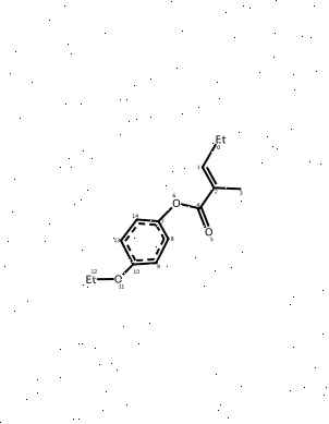 CCC=C(C)C(=O)Oc1ccc(OCC)cc1